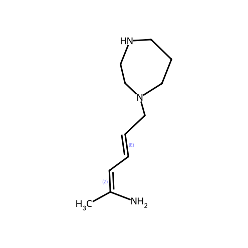 C/C(N)=C/C=C/CN1CCCNCC1